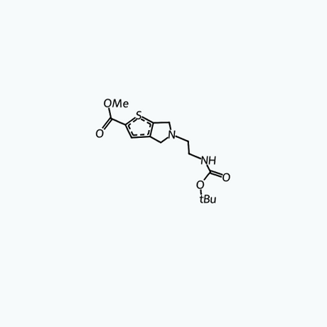 COC(=O)c1cc2c(s1)CN(CCNC(=O)OC(C)(C)C)C2